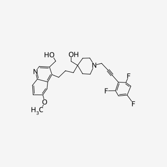 COc1ccc2ncc(CO)c(CCCC3(CO)CCN(CC#Cc4c(F)cc(F)cc4F)CC3)c2c1